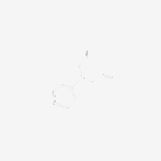 C=CCN(CC=C)c1ccc(C)cc1